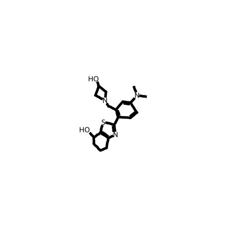 CN(C)c1ccc(-c2nc3c(s2)C(O)CCC3)c(CN2CC(O)C2)c1